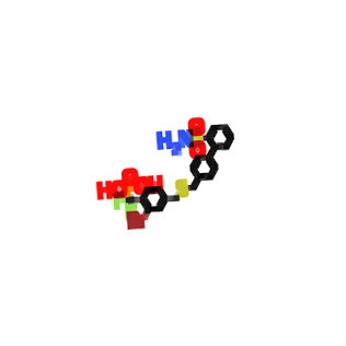 NS(=O)(=O)c1ccccc1-c1ccc(CSCc2ccc(C(F)(F)P(=O)(O)O)c(Br)c2)cc1